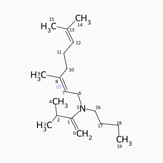 C=C(C(C)C)N(C/C=C(/C)CCC=C(C)C)CCCC